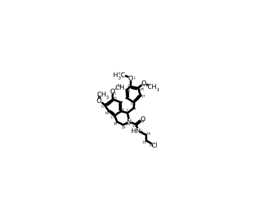 COc1ccc(CC2c3cc(OC)c(OC)cc3CCN2C(=O)NCCCl)cc1OC